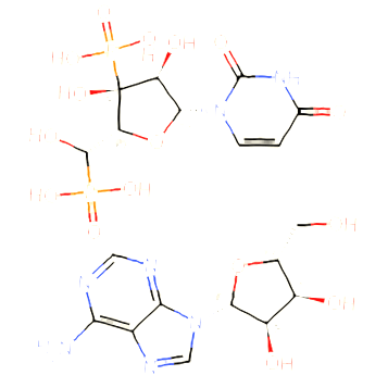 Nc1ncnc2c1ncn2[C@@H]1O[C@H](CO)[C@@H](O)[C@H]1O.O=c1ccn([C@@H]2O[C@H](C(O)P(=O)(O)O)[C@](O)(P(=O)(O)O)[C@H]2O)c(=O)[nH]1